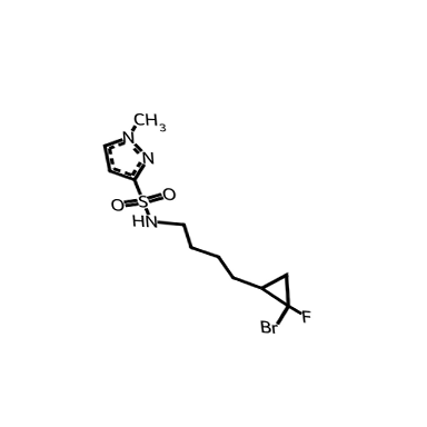 Cn1ccc(S(=O)(=O)NCCCCC2CC2(F)Br)n1